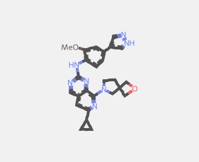 COc1cc(-c2cn[nH]c2)ccc1Nc1ncc2cc(C3CC3)nc(N3CCC4(COC4)C3)c2n1